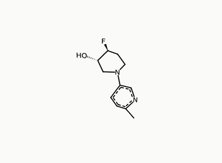 Cc1ccc(N2CC[C@H](F)[C@@H](O)C2)cn1